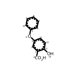 O=C(O)c1cc(Oc2ccccc2)ccc1O